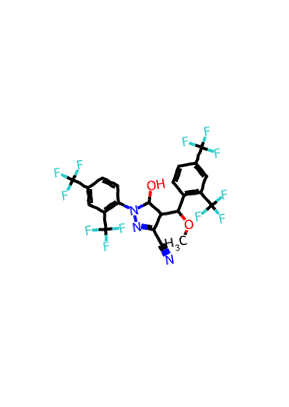 COC(c1ccc(C(F)(F)F)cc1C(F)(F)F)C1C(C#N)=NN(c2ccc(C(F)(F)F)cc2C(F)(F)F)C1O